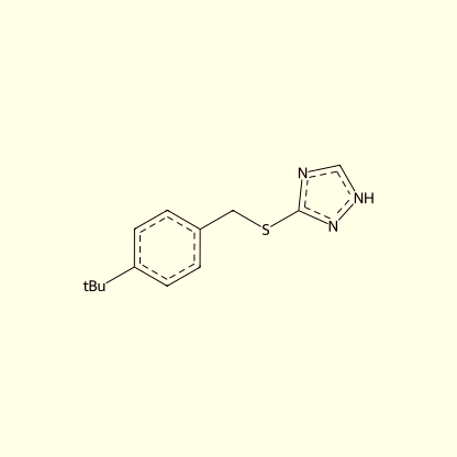 CC(C)(C)c1ccc(CSc2nc[nH]n2)cc1